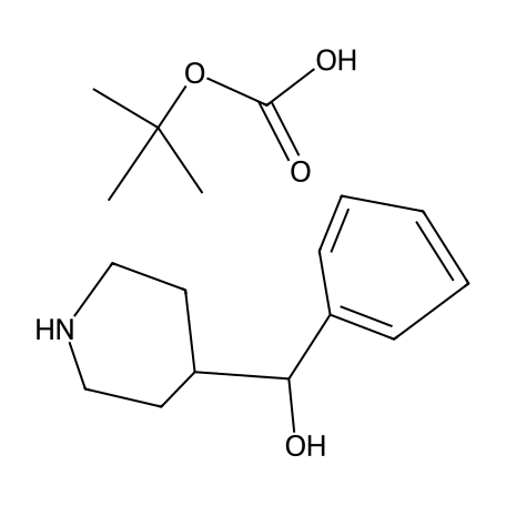 CC(C)(C)OC(=O)O.OC(c1ccccc1)C1CCNCC1